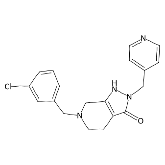 O=c1c2c([nH]n1Cc1ccncc1)CN(Cc1cccc(Cl)c1)CC2